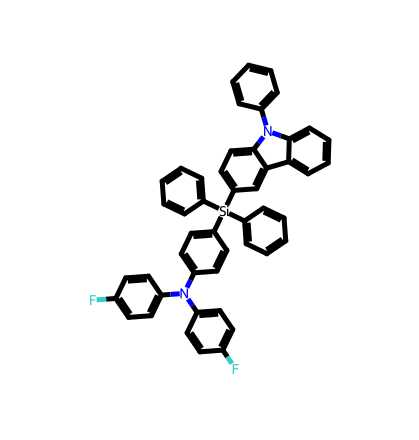 Fc1ccc(N(c2ccc(F)cc2)c2ccc([Si](c3ccccc3)(c3ccccc3)c3ccc4c(c3)c3ccccc3n4-c3ccccc3)cc2)cc1